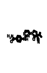 CC(C)C1(C#N)CCN(c2ccnc(Nc3ccc(C(N)=O)cc3)n2)C1=O